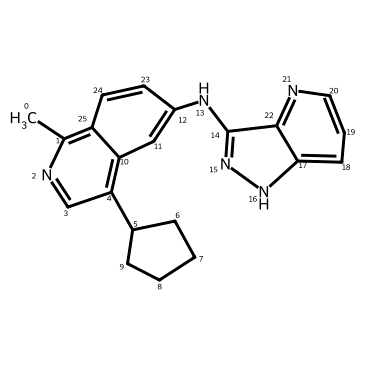 Cc1ncc(C2CCCC2)c2cc(Nc3n[nH]c4cccnc34)ccc12